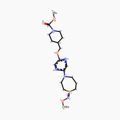 COO/N=S1/CCCN(c2cnc(OCC3CCN(C(=O)OC(C)(C)C)CC3)cn2)CC1